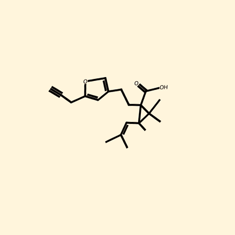 C#CCc1cc(CCC2(C(=O)O)C(C)(C)C2(C)C=C(C)C)co1